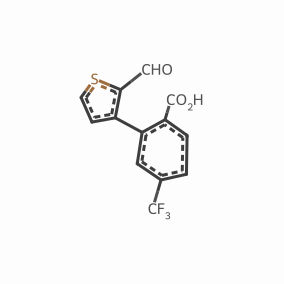 O=Cc1sccc1-c1cc(C(F)(F)F)ccc1C(=O)O